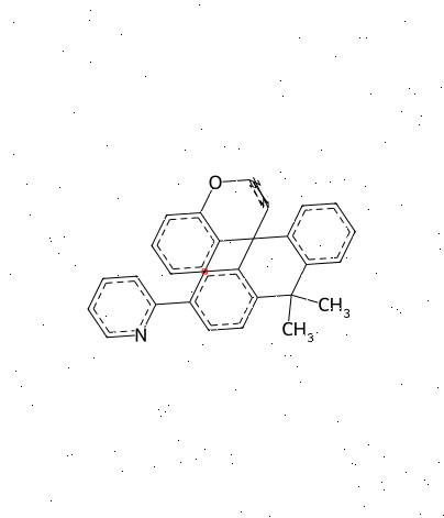 CC1(C)c2ccccc2C2(c3ccccc3Oc3ccccc32)c2cc(-c3ccccn3)ccc21